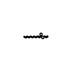 C=CCOC(=O)C=CCCCCCC=CC